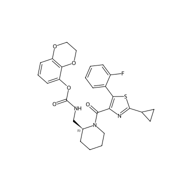 O=C(NC[C@@H]1CCCCN1C(=O)c1nc(C2CC2)sc1-c1ccccc1F)Oc1cccc2c1OCCO2